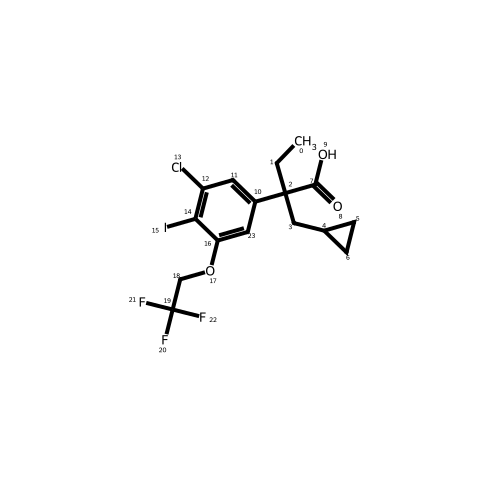 CCC(CC1CC1)(C(=O)O)c1cc(Cl)c(I)c(OCC(F)(F)F)c1